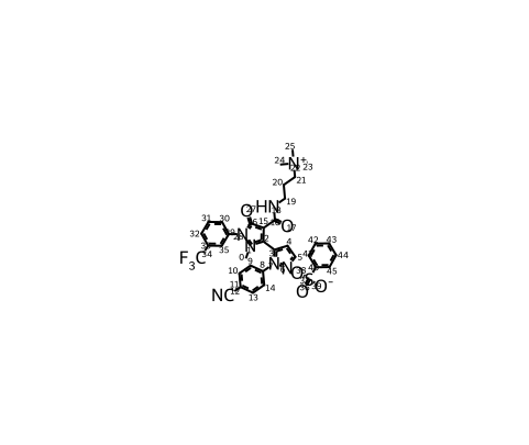 Cn1c(-c2ccnn2-c2ccc(C#N)cc2)c(C(=O)NCCC[N+](C)(C)C)c(=O)n1-c1cccc(C(F)(F)F)c1.O=S(=O)([O-])c1ccccc1